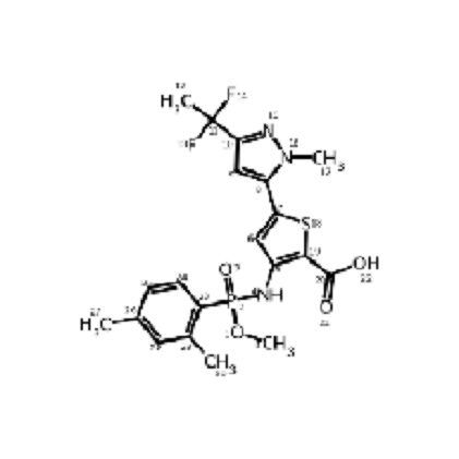 COP(=O)(Nc1cc(-c2cc(C(C)(F)F)nn2C)sc1C(=O)O)c1ccc(C)cc1C